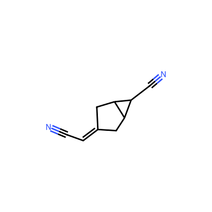 N#CC=C1CC2C(C#N)C2C1